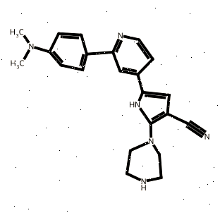 CN(C)c1ccc(-c2cc(-c3cc(C#N)c(N4CCNCC4)[nH]3)ccn2)cc1